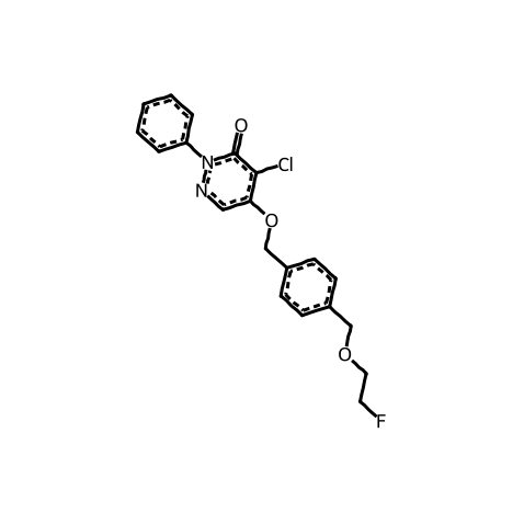 O=c1c(Cl)c(OCc2ccc(COCCF)cc2)cnn1-c1ccccc1